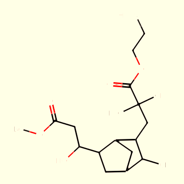 CC1C2CC(C(O)CC(=O)OC(C)(C)C)C(C2)C1CC(C)(C)C(=O)OCCS(=O)(=O)O